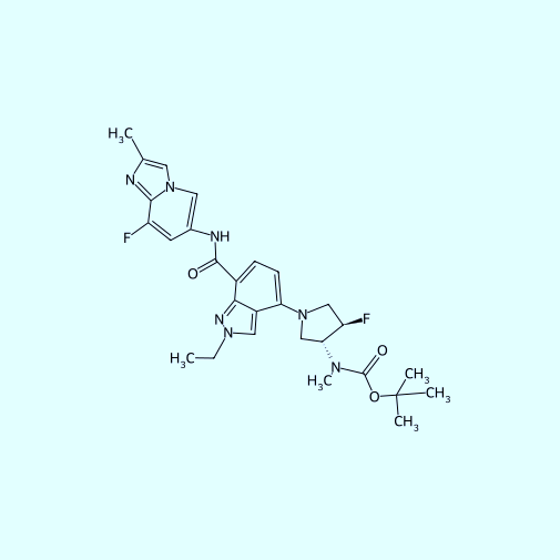 CCn1cc2c(N3C[C@@H](F)[C@H](N(C)C(=O)OC(C)(C)C)C3)ccc(C(=O)Nc3cc(F)c4nc(C)cn4c3)c2n1